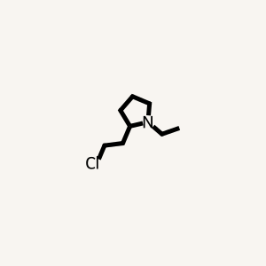 CCN1CCCC1CCCl